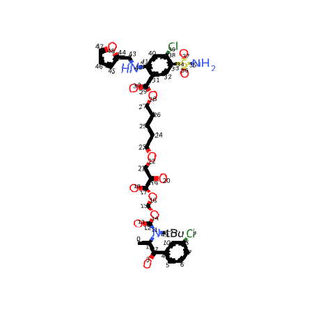 CC(C(=O)c1cccc(Cl)c1)N(C(=O)OCOC(=O)C(=O)COCCCCCOC(=O)c1cc(S(N)(=O)=O)c(Cl)cc1NCc1ccco1)C(C)(C)C